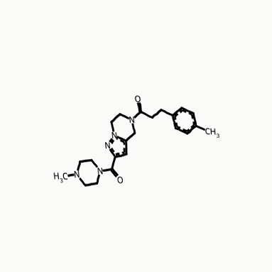 Cc1ccc(CCC(=O)N2CCn3nc(C(=O)N4CCN(C)CC4)cc3C2)cc1